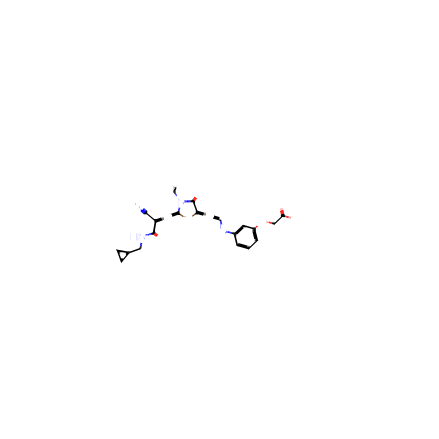 CCn1c(=C=C(C#N)C(=O)NCC2CC2)sc(=C=CNc2cccc(OCC(=O)OC)c2)c1=O